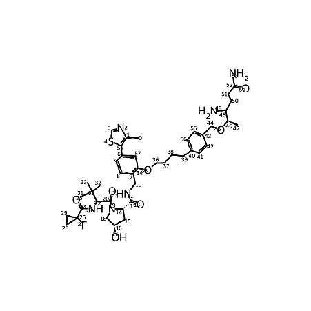 Cc1ncsc1-c1ccc(CNC(=O)[C@@H]2C[C@@H](O)CN2C(=O)[C@@H](NC(=O)C2(F)CC2)C(C)(C)C)c(OCCCCc2ccc(CO[C@H](C)[C@@H](N)CCC(N)=O)cc2)c1